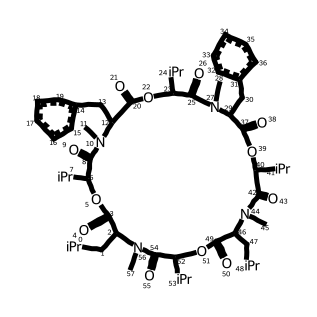 CC(C)CC1C(=O)OC(C(C)C)C(=O)N(C)C(Cc2ccccc2)C(=O)OC(C(C)C)C(=O)N(C)C(Cc2ccccc2)C(=O)OC(C(C)C)C(=O)N(C)C(CC(C)C)C(=O)OC(C(C)C)C(=O)N1C